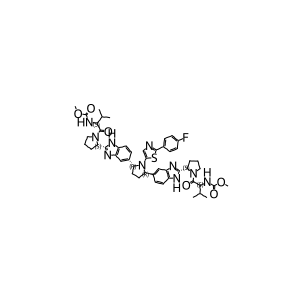 COC(=O)N[C@H](C(=O)N1CCC[C@H]1c1nc2cc([C@H]3CC[C@H](c4ccc5[nH]c([C@@H]6CCCN6C(=O)[C@@H](NC(=O)OC)C(C)C)nc5c4)N3c3cnc(-c4ccc(F)cc4)s3)ccc2[nH]1)C(C)C